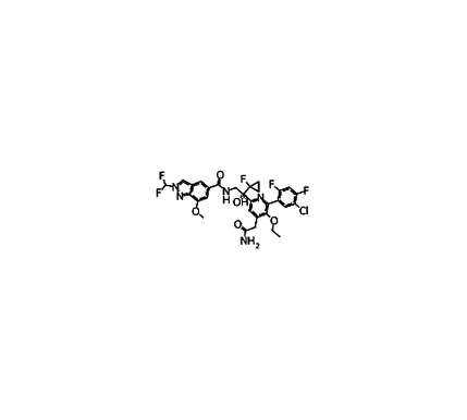 CCOc1c(CC(N)=O)cc([C@@](O)(CNC(=O)c2cc(OC)c3nn(C(F)F)cc3c2)C2(F)CC2)nc1-c1cc(Cl)c(F)cc1F